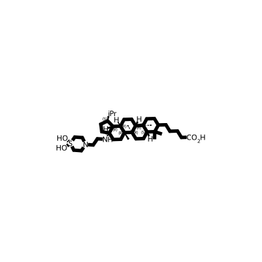 CC(C)[C@@H]1CC[C@]2(NCCN3CCS(O)(O)CC3)CC[C@]3(C)[C@H](CC[C@@H]4[C@@]5(C)CCC(CCCCC(=O)O)C(C)(C)[C@@H]5CC[C@]43C)[C@@H]12